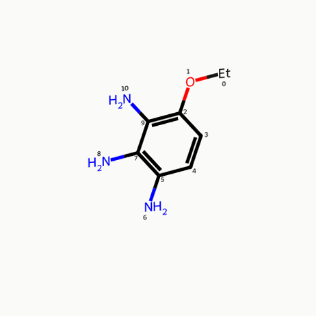 CCOc1ccc(N)c(N)c1N